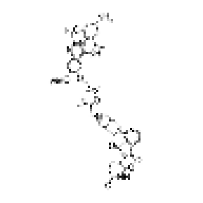 COc1cc2nc(C)nc(N[C@H](C)c3cc(N)cc(C(F)(F)F)c3)c2cc1OCC1(CN(C)C(=O)CN2CC3CN(c4cccc5c4C(=O)N(C4CCC(=O)NC4=O)C5=O)CC3C2)CC1